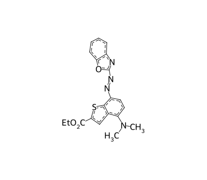 CCOC(=O)c1cc2c(N(C)C)ccc(/N=N/c3nc4ccccc4o3)c2s1